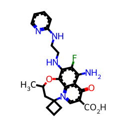 CC1CC2(CCC2)n2cc(C(=O)O)c(=O)c3c(N)c(F)c(NCCNc4ccccn4)c(c32)O1